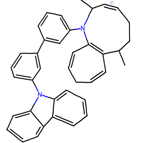 CC1CC/C=C\C(C)N(c2cccc(-c3cccc(-n4c5ccccc5c5ccccc54)c3)c2)C2=C1C=CCC=C2